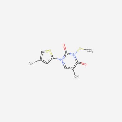 N#Cc1cn(-c2cc(C(F)(F)F)cs2)c(=O)n(SC(Cl)(Cl)Cl)c1=O